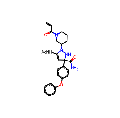 C=CC(=O)N1CCCC(N2NC(C(N)=O)(c3ccc(Oc4ccccc4)cc3)C=C2NC(C)=O)C1